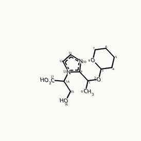 CC(OC1CCCCO1)c1nccn1C(CO)C(=O)O